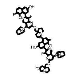 Oc1cc(-c2ncc3c(N4CC5CCC(C4)N5)cc(OCC45CCCN4C(c4cc(F)c(Cl)c6c(C7=NC=C8C(N9CC%10CCC(C9)N%10)=CC(OCC9%10CCCN9C[C@@H](F)C%10)=NC8C7F)cc(O)cc46)CC5)nc3c2F)c2c(Cl)c(F)ccc2c1